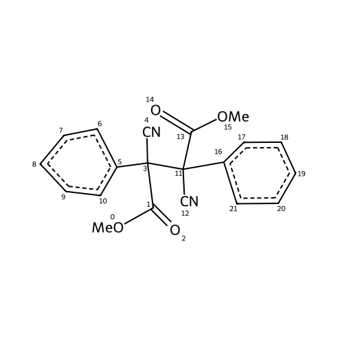 COC(=O)C(C#N)(c1ccccc1)C(C#N)(C(=O)OC)c1ccccc1